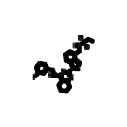 CCS(=O)(=O)NCc1cccc2c1cnn2-c1nc2c(c(NCc3cccc(F)c3)n1)CCCC2